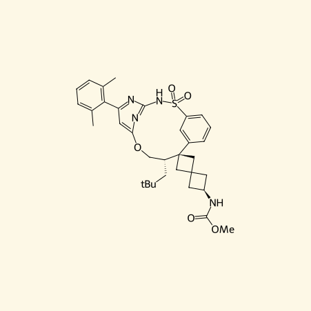 COC(=O)N[C@H]1CC2(C1)C[C@]1(C2)c2cccc(c2)S(=O)(=O)Nc2nc(cc(-c3c(C)cccc3C)n2)OC[C@H]1CC(C)(C)C